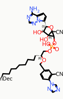 CCCCCCCCCCCCCCCCCCC[C@H](COP(=O)(O)OC1[C@@]2(C#N)O[C@@H](c3ccc4c(N)ncnn34)[C@H](O)[C@@]12O)OCc1ccc(-n2cncn2)c(C#N)c1